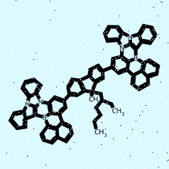 CCCCC(CC)CC1(C)c2cc(-c3cc4c5c(c3)-n3c6ccccc6n6c7ccccc7c(c36)B5c3cccc5cccc-4c35)ccc2-c2ccc(-c3cc4c5c(c3)-n3c6ccccc6n6c7ccccc7c(c36)B5c3cccc5cccc-4c35)cc21